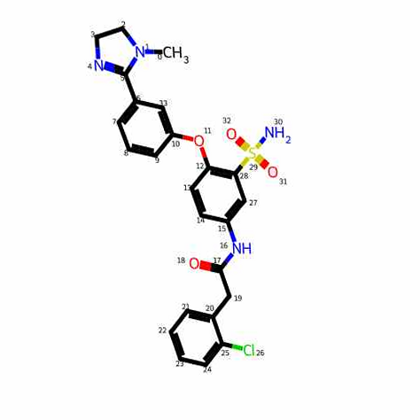 CN1CCN=C1c1cccc(Oc2ccc(NC(=O)Cc3ccccc3Cl)cc2S(N)(=O)=O)c1